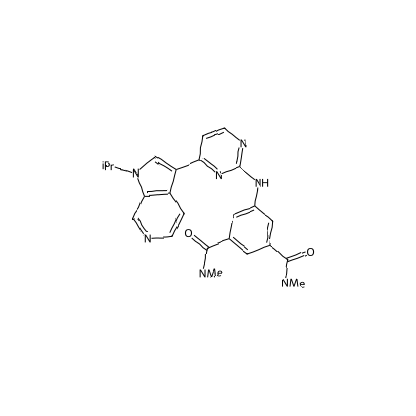 CNC(=O)c1cc(Nc2nccc(-c3cn(C(C)C)c4cnccc34)n2)cc(C(=O)NC)c1